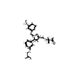 COc1cccc(Cn2nc(COC(C)(C)C(C)=O)cc2-c2cccc(OCC(C)C)c2)c1